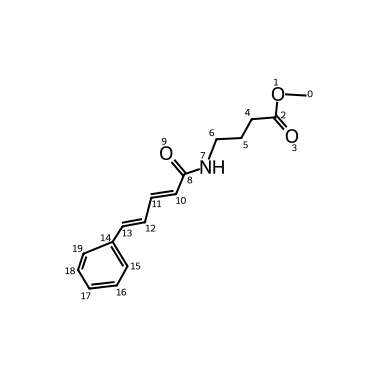 COC(=O)CCCNC(=O)C=CC=Cc1ccccc1